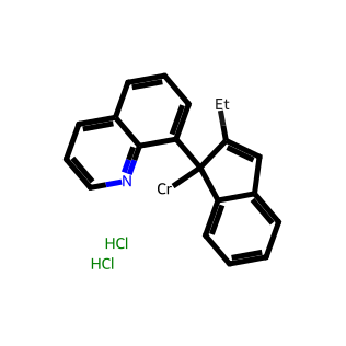 CCC1=Cc2ccccc2[C]1([Cr])c1cccc2cccnc12.Cl.Cl